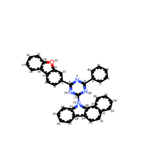 c1ccc(-c2nc(-c3ccc4c(c3)oc3ccccc34)nc(-n3c4ccccc4c4ccc5ccccc5c43)n2)cc1